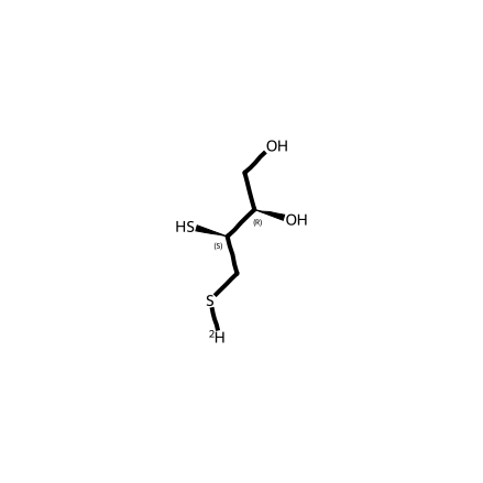 [2H]SC[C@@H](S)[C@H](O)CO